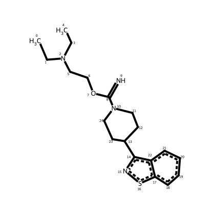 CCN(CC)CCOC(=N)N1CCC(c2nsc3ccccc23)CC1